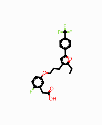 CCc1oc(-c2ccc(C(F)(F)F)cc2)cc1CCCOc1ccc(F)c(CC(=O)O)c1